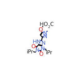 CC(C)Cn1c(=O)c2[nH]c(-c3cc(OCC(=O)O)n(C)n3)nc2n(CC(C)C)c1=O